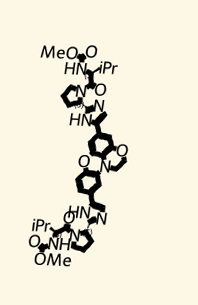 COC(=O)N[C@H](C(=O)N1CCC[C@H]1c1ncc(-c2cc3c4c(c2)Oc2ccc(-c5cnc([C@@H]6CCCN6C(=O)[C@@H](NC(=O)OC)C(C)C)[nH]5)cc2N4CCO3)[nH]1)C(C)C